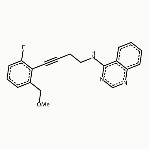 COCc1cccc(F)c1C#CCCNc1ncnc2ccccc12